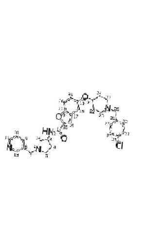 O=C(NC1CCN(Cc2cccnc2)C1)c1cc2cc(OC3CCN(Cc4ccc(Cl)cc4)CC3)ccc2o1